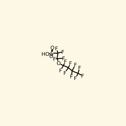 O=S(=O)(O)C(F)(F)C(F)(F)OC(F)(F)C(F)(F)C(F)(F)C(F)(F)F